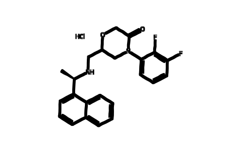 C[C@@H](NCC1CN(c2cccc(F)c2F)C(=O)CO1)c1cccc2ccccc12.Cl